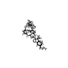 CCCc1ccc(C2(C(=O)N(CCCc3ccc(C)o3)Cc3nc(C(=O)NS(=O)(=O)N(C)C)c(C)s3)CC2)nc1